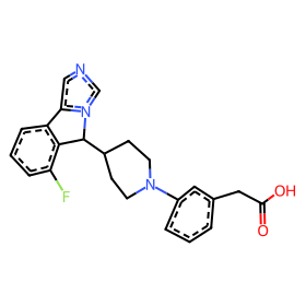 O=C(O)Cc1cccc(N2CCC(C3c4c(F)cccc4-c4cncn43)CC2)c1